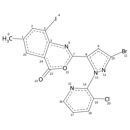 Cc1cc(I)c2nc(-c3cc(Br)nn3-c3ncccc3Cl)oc(=O)c2c1